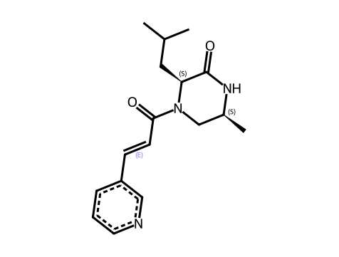 CC(C)C[C@H]1C(=O)N[C@@H](C)CN1C(=O)/C=C/c1cccnc1